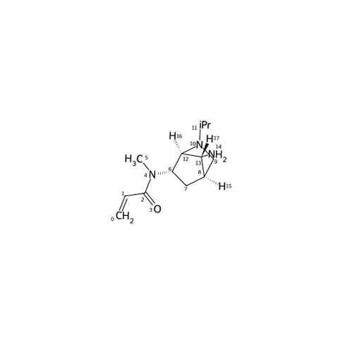 C=CC(=O)N(C)[C@H]1C[C@@H]2CN(C(C)C)[C@H]1[C@@H]2N